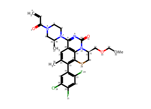 C=CC(=O)N1CCN(c2nc(=O)n3c4c(c(-c5cc(Cl)c(F)cc5F)c(C)cc24)SC[C@@H]3COCOC)[C@@H](C)C1